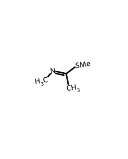 C/N=C(\C)SC